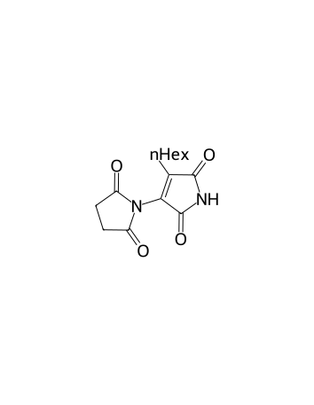 CCCCCCC1=C(N2C(=O)CCC2=O)C(=O)NC1=O